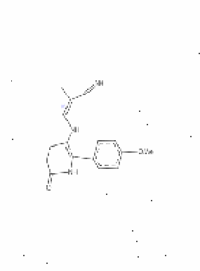 COc1ccc(C2=C(N/C=C(/C)C=N)CCC(=O)N2)cc1